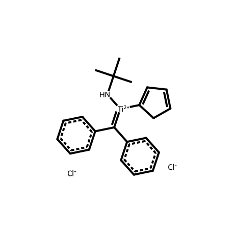 CC(C)(C)[NH][Ti+2]([C]1=CC=CC1)=[C](c1ccccc1)c1ccccc1.[Cl-].[Cl-]